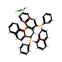 [Cl][Pd][Cl].c1ccc(P(CC(CC(CP(c2ccccc2)c2ccccc2)P(c2ccccc2)c2ccccc2)P(c2ccccc2)c2ccccc2)c2ccccc2)cc1